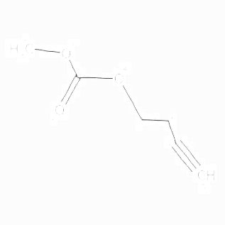 C#CCCOC(=O)OC